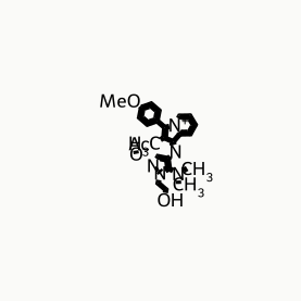 CC(=O)[O-].COc1ccc(C2=C(C)/C(=N\c3cnn(CCO)c3N(C)C)c3cccc[n+]32)cc1